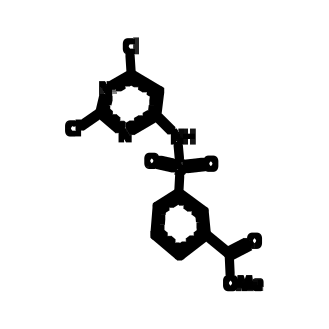 COC(=O)c1cccc(S(=O)(=O)Nc2cc(Cl)nc(Cl)n2)c1